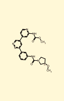 COC(=O)Nc1cc(-c2cnnc(-c3cccc(NC(=O)N4CC[C@@H](OC)C4)c3)c2)ccn1